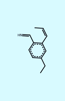 C/C=C\c1cc(CC)ccc1C=N